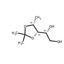 C[C@H]1OC(C)(C)O[C@H]1[C@H](O)CO